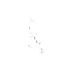 C=C1/C(=C/C=C2\CCC[C@]3(C)[C@@H]([C@H](C)/C=C/[C@@H](O)CC(CC)CC)CC[C@@H]23)C[C@@H](O[Si](C)(C)C(C)(C)C)C[C@@H]1O[Si](C)(C)C(C)(C)C